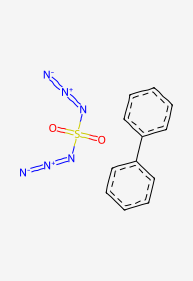 [N-]=[N+]=NS(=O)(=O)N=[N+]=[N-].c1ccc(-c2ccccc2)cc1